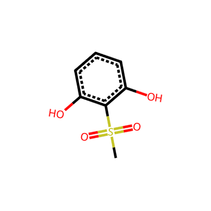 CS(=O)(=O)c1c(O)cccc1O